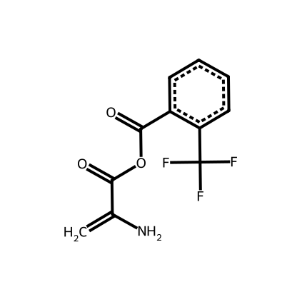 C=C(N)C(=O)OC(=O)c1ccccc1C(F)(F)F